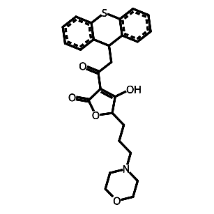 O=C(CC1c2ccccc2Sc2ccccc21)C1=C(O)C(CCCN2CCOCC2)OC1=O